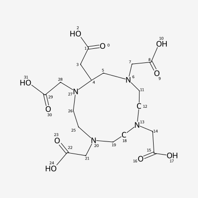 O=C(O)CC1CN(CC(=O)O)CCN(CC(=O)O)CCN(CC(=O)O)CCN1CC(=O)O